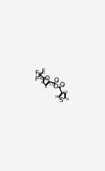 O=C(OC(=O)c1ccc(C(F)(F)F)o1)c1ccsc1